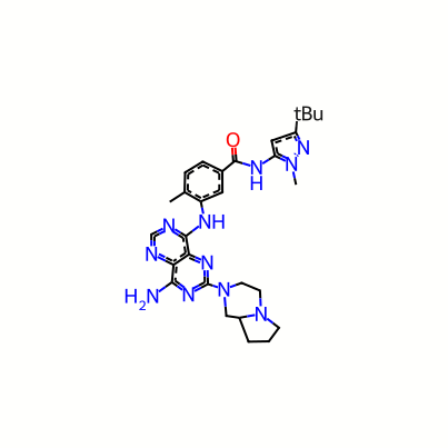 Cc1ccc(C(=O)Nc2cc(C(C)(C)C)nn2C)cc1Nc1ncnc2c(N)nc(N3CCN4CCCC4C3)nc12